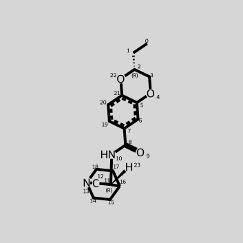 CC[C@@H]1COc2cc(C(=O)N[C@H]3CN4CCC3CC4)ccc2O1